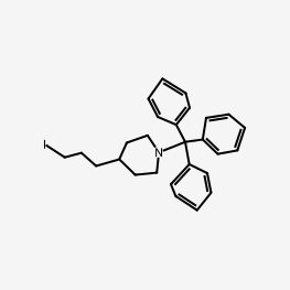 ICCCC1CCN(C(c2ccccc2)(c2ccccc2)c2ccccc2)CC1